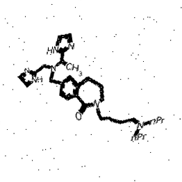 CCCN(CCC)CCCCN1CCCc2cc(CN(Cc3ncc[nH]3)C(C)c3ncc[nH]3)ccc2C1=O